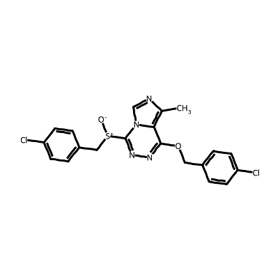 Cc1ncn2c([S+]([O-])Cc3ccc(Cl)cc3)nnc(OCc3ccc(Cl)cc3)c12